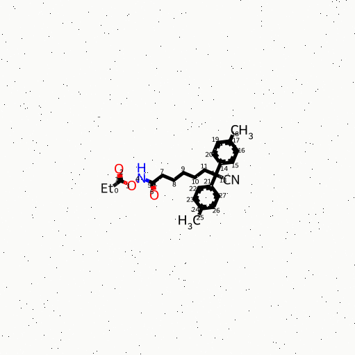 CCC(=O)ONC(=O)CCCCCC(C#N)(c1ccc(C)cc1)c1ccc(C)cc1